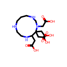 O=C(O)CC1NCCNCCCNCN(CC(=O)O)C1(CC(=O)O)CC(=O)O